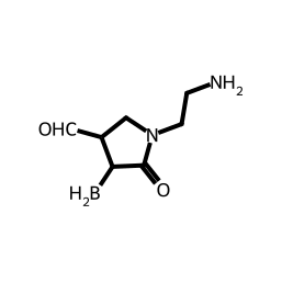 BC1C(=O)N(CCN)CC1C=O